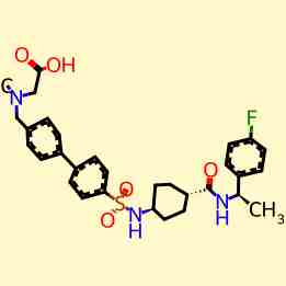 C[C@@H](NC(=O)[C@H]1CC[C@H](NS(=O)(=O)c2ccc(-c3ccc(CN(C)CC(=O)O)cc3)cc2)CC1)c1ccc(F)cc1